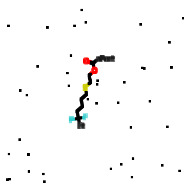 CCCCCC(=O)OCCSCCCCC(F)(F)CC